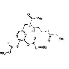 CCCCOC(=O)Oc1ccc(C[C@H](NCCOC(=O)CC(C)(C)C)C(=O)OC)cc1OC(=O)OCCCC